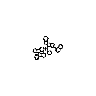 c1ccc(N(c2ccc3c(c2)C2(c4ccccc4-c4ccccc42)c2ccccc2-3)c2c3cc(-c4cccc5ccccc45)ccc3n3c2sc2ccccc23)cc1